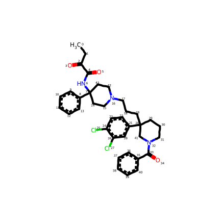 CCC(=O)C(=O)NC1(c2ccccc2)CCN(CCCC2(c3ccc(Cl)c(Cl)c3)CCCN(C(=O)c3ccccc3)C2)CC1